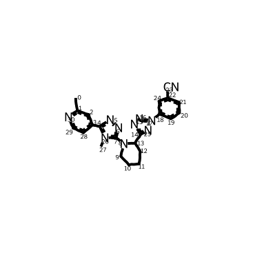 Cc1cc(-c2nnc(N3CCCCC3c3nnn(-c4cccc(C#N)c4)n3)n2C)ccn1